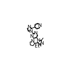 CC[C@@]12CCCN1c1nc(-n3ccnc3-c3ccncc3)ncc1-n1c(C)nnc12